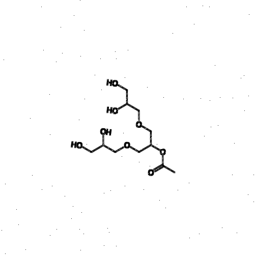 CC(=O)OC(COCC(O)CO)COCC(O)CO